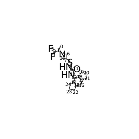 CC(C(F)F)N1CC(SNC(=O)Nc2c3c(cc4c2CCC4)CCC3)C1